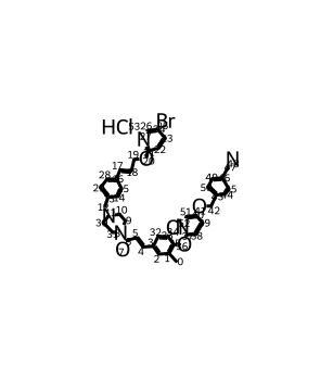 Cc1cc(C=CC(=O)N2CCN(Cc3ccc(C=CCOc4ccc(Br)cn4)cc3)CC2)cc(Cl)c1Oc1ccc(OCc2ccc(C#N)cc2)cn1.Cl